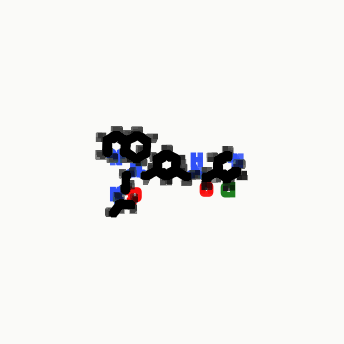 Cc1coc(CN(Cc2cccc(CNC(=O)c3ccncc3Cl)c2)C2CCCc3cccnc32)n1